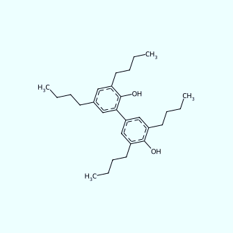 CCCCc1cc(CCCC)c(O)c(-c2cc(CCCC)c(O)c(CCCC)c2)c1